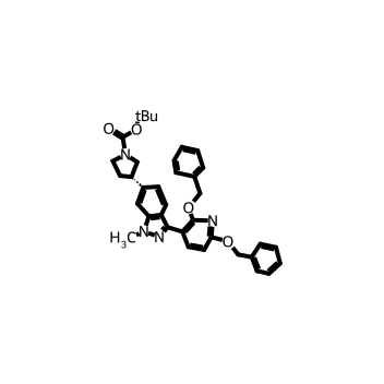 Cn1nc(-c2ccc(OCc3ccccc3)nc2OCc2ccccc2)c2ccc([C@@H]3CCN(C(=O)OC(C)(C)C)C3)cc21